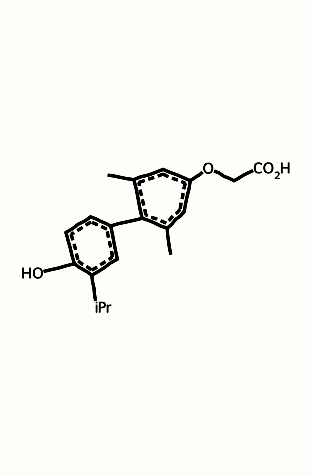 Cc1cc(OCC(=O)O)cc(C)c1-c1ccc(O)c(C(C)C)c1